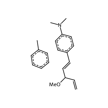 C=CC(C=Cc1ccc(N(C)C)cc1)OC.Cc1ccccc1